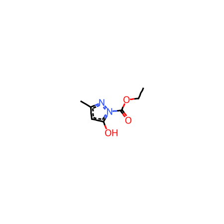 CCOC(=O)n1nc(C)cc1O